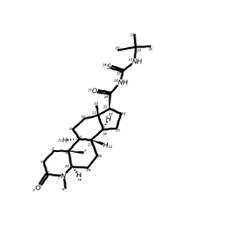 CN1C(=O)CC[C@]2(C)[C@H]3CC[C@]4(C)[C@@H](C(=O)NC(=S)NC(C)(C)C)CC[C@H]4[C@@H]3CC[C@@H]12